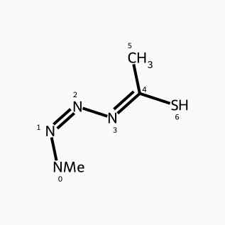 CN/N=N\N=C(/C)S